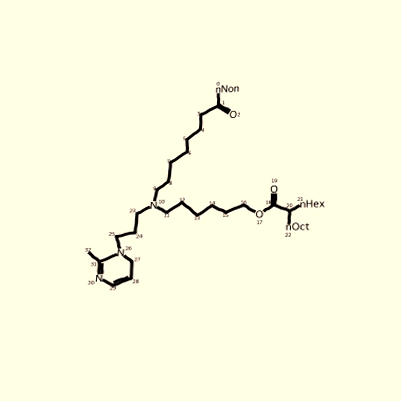 CCCCCCCCCC(=O)CCCCCCCN(CCCCCCOC(=O)C(CCCCCC)CCCCCCCC)CCCN1CC=CN=C1C